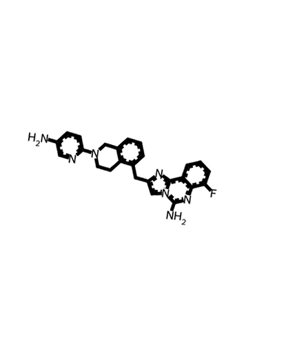 Nc1ccc(N2CCc3c(Cc4cn5c(N)nc6c(F)cccc6c5n4)cccc3C2)nc1